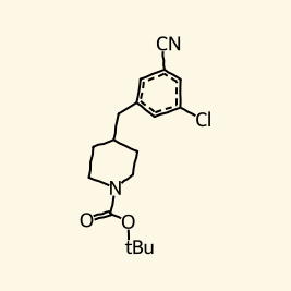 CC(C)(C)OC(=O)N1CCC(Cc2cc(Cl)cc(C#N)c2)CC1